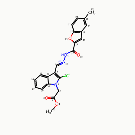 COC(=O)Cn1c(Cl)c(/C=N/NC(=O)c2cc3cc(C)ccc3o2)c2ccccc21